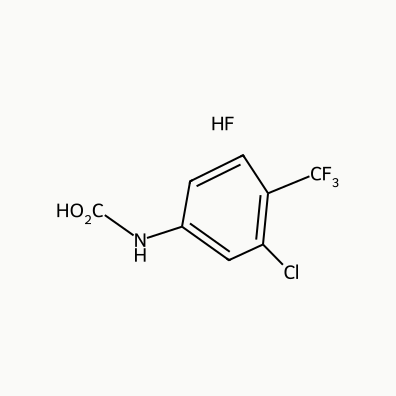 F.O=C(O)Nc1ccc(C(F)(F)F)c(Cl)c1